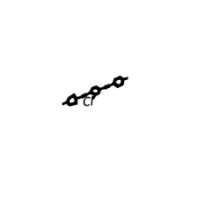 Cc1ccc(C#Cc2ccc(C#Cc3ccc(C)cc3)c(Cl)c2)cc1